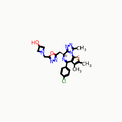 Cc1sc2c(c1C)C(c1ccc(Cl)cc1)=N[C@@H](Cc1nnc(CN3CC(O)C3)o1)c1nnc(C)n1-2